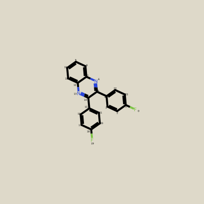 Fc1ccc(-c2nc3c[c]ccc3nc2-c2ccc(F)cc2)cc1